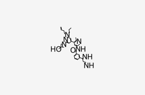 C=CCCN(CCC)c1cc(-c2cc(NC(=O)c3cccc(C(=N)CC=N)c3)cnc2C)cc(N2CC(O)C2)n1